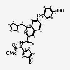 COC(=O)C(NC(=O)c1cc2ccc(Oc3ccc(C(C)(C)C)cc3)cc2c(CC2CCCC2)n1)c1ccc(Br)s1